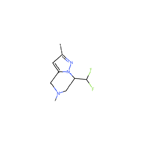 Cc1cc2n(n1)C(C(F)F)CN(C)C2